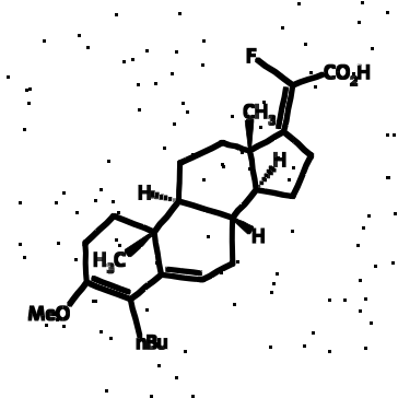 CCCCC1=C(OC)CC[C@@]2(C)C1=CC[C@@H]1[C@@H]2CC[C@]2(C)C(=C(F)C(=O)O)CC[C@@H]12